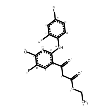 CCOC(=O)CC(=O)c1cc(F)c(Cl)nc1Nc1ccc(F)cc1F